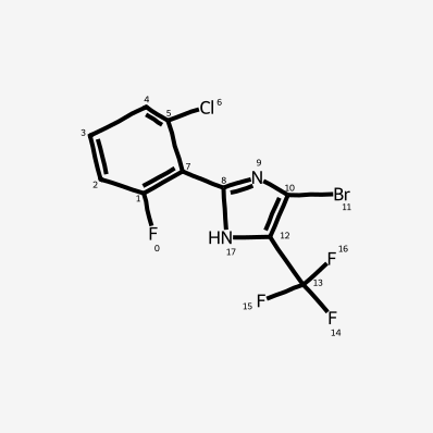 Fc1cccc(Cl)c1-c1nc(Br)c(C(F)(F)F)[nH]1